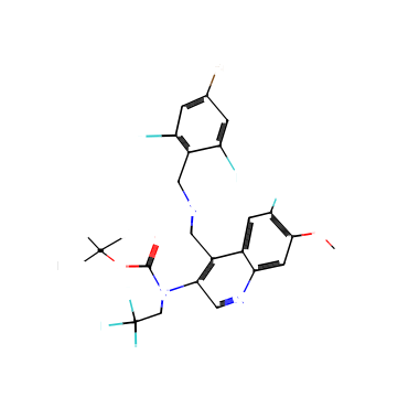 COc1cc2ncc(N(CC(F)(F)F)C(=O)OC(C)(C)C)c(CNCc3c(F)cc(Br)cc3F)c2cc1F